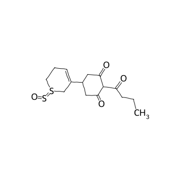 CCCC(=O)C1C(=O)CC(C2=CCCS(=S=O)C2)CC1=O